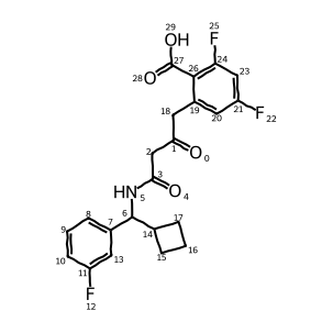 O=C(CC(=O)NC(c1cccc(F)c1)C1CCC1)Cc1cc(F)cc(F)c1C(=O)O